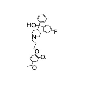 COc1cc(C(C)=O)ccc1OCCCN1CCC(C(O)(c2ccccc2)c2ccc(F)cc2)CC1